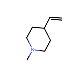 C=CC1CCN(C)CC1